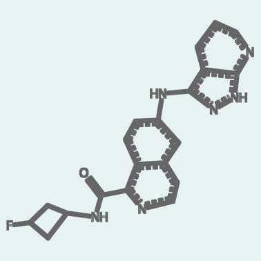 O=C(NC1CC(F)C1)c1nccc2cc(Nc3n[nH]c4ncccc34)ccc12